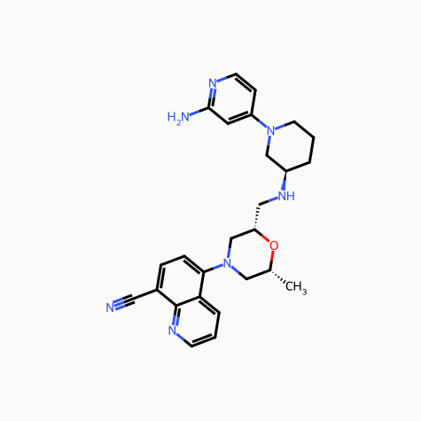 C[C@@H]1CN(c2ccc(C#N)c3ncccc23)C[C@H](CN[C@@H]2CCCN(c3ccnc(N)c3)C2)O1